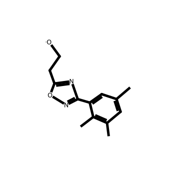 Cc1cc(C)c(C)c(-c2noc(CC[O])n2)c1